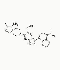 CC(=O)N1CCN(c2n[nH]c3nc(N4CCC5(CC4)CO[C@@H](C)[C@H]5N)c(CO)nc23)c2ccccc21